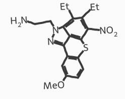 CCc1c([N+](=O)[O-])c2c3c(nn(CCN)c3c1CC)-c1cc(OC)ccc1S2